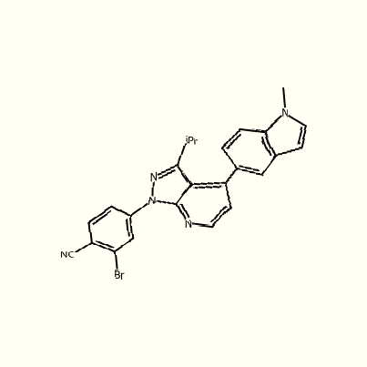 CC(C)c1nn(-c2ccc(C#N)c(Br)c2)c2nccc(-c3ccc4c(ccn4C)c3)c12